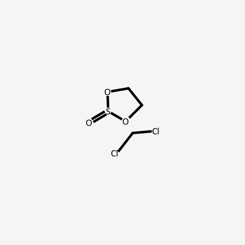 ClCCl.O=S1OCCO1